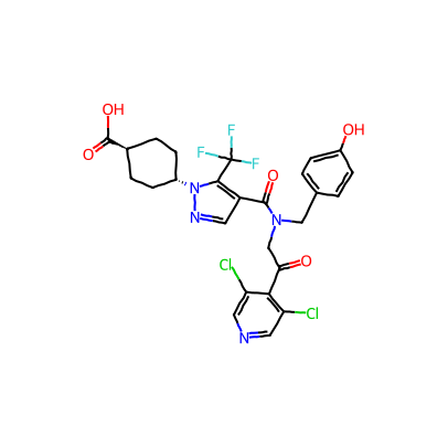 O=C(CN(Cc1ccc(O)cc1)C(=O)c1cnn([C@H]2CC[C@H](C(=O)O)CC2)c1C(F)(F)F)c1c(Cl)cncc1Cl